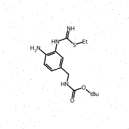 CCSC(=N)Nc1cc(CNC(=O)OC(C)(C)C)ccc1N